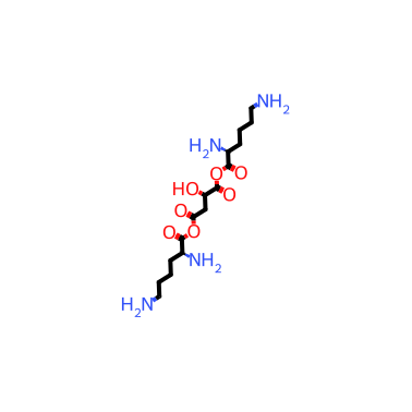 NCCCC[C@H](N)C(=O)OC(=O)CC(O)C(=O)OC(=O)[C@@H](N)CCCCN